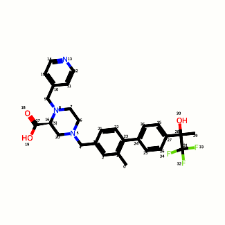 Cc1cc(CN2CCN(Cc3ccncc3)[C@H](C(=O)O)C2)ccc1-c1ccc(C(C)(O)C(F)(F)F)cc1